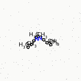 CC1(C)c2ccccc2-c2ccc(-c3ccc(-c4ccc5c(n4)-c4nc(-c6ccc(-c7ccc8c(c7)C(C)(C)c7ccccc7-8)cc6)ccc4C5(C)C)cc3)cc21